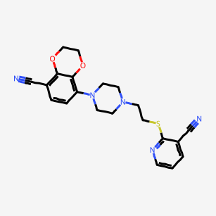 N#Cc1cccnc1SCCN1CCN(c2ccc(C#N)c3c2OCCO3)CC1